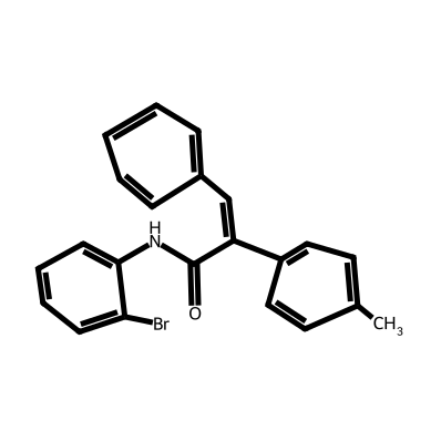 Cc1ccc(C(=Cc2ccccc2)C(=O)Nc2ccccc2Br)cc1